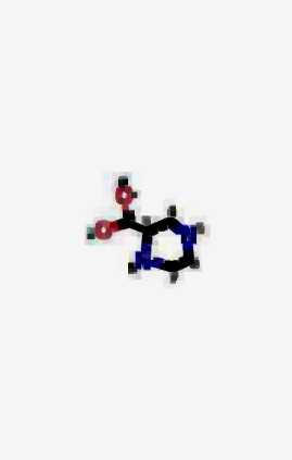 [O]C(=O)c1cnccn1